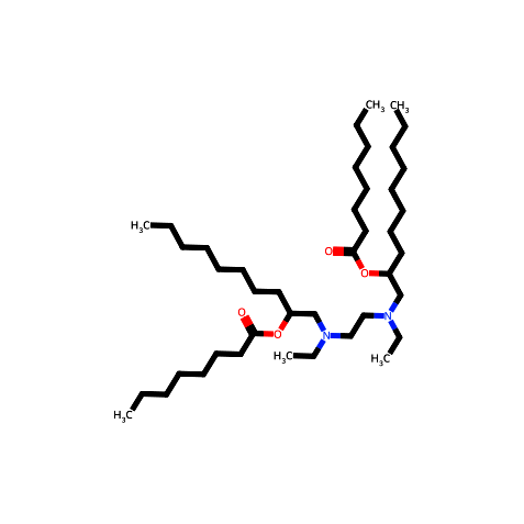 CCCCCCCCC(CN(CC)CCN(CC)CC(CCCCCCCC)OC(=O)CCCCCCC)OC(=O)CCCCCCC